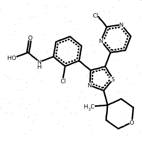 CC1(c2nc(-c3cccc(NC(=O)O)c3Cl)c(-c3ccnc(Cl)n3)s2)CCOCC1